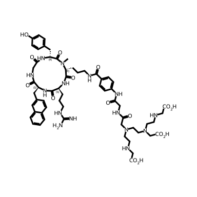 CN1C(=O)[C@@H](Cc2ccc(O)cc2)NC(=O)CNC(=O)[C@H](Cc2ccc3ccccc3c2)NC(=O)[C@H](CCCNC(=N)N)NC(=O)[C@H]1CCCNC(=O)c1ccc(NC(=O)CNC(=O)CN(CCNCC(=O)O)CCN(CCNCC(=O)O)CC(=O)O)cc1